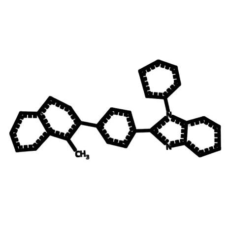 Cc1c(-c2ccc(-c3nc4ccccc4n3-c3ccccc3)cc2)ccc2ccccc12